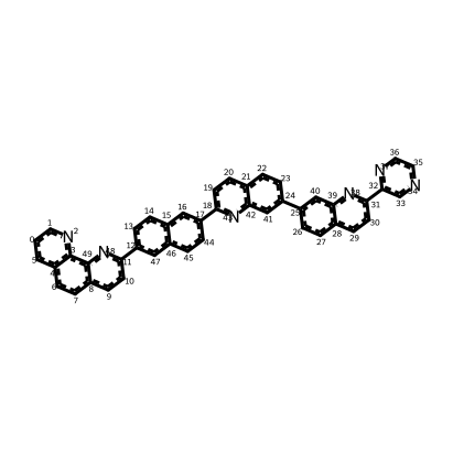 c1cnc2c(c1)ccc1ccc(-c3ccc4cc(-c5ccc6ccc(-c7ccc8ccc(-c9cnccn9)nc8c7)cc6n5)ccc4c3)nc12